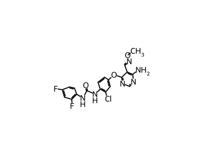 CON=Cc1c(N)ncnc1Oc1ccc(NC(=O)Nc2ccc(F)cc2F)c(Cl)c1